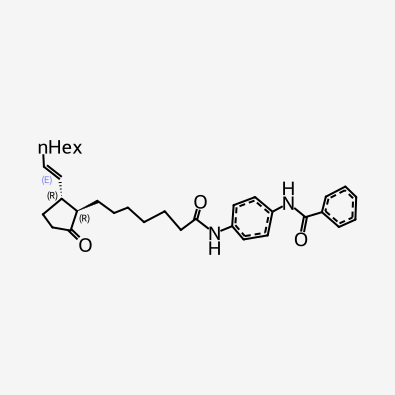 CCCCCC/C=C/[C@H]1CCC(=O)[C@@H]1CCCCCCC(=O)Nc1ccc(NC(=O)c2ccccc2)cc1